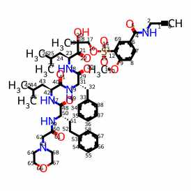 C#CCNC(=O)c1ccc(OC)c(S(=O)(=O)OCC(C)(O)C(=O)[C@H](CC(C)C)NC(=O)[C@H](Cc2ccccc2)NC(=O)[C@H](CC(C)C)NC(=O)[C@H](CCc2ccccc2)NC(=O)CN2CCOCC2)c1